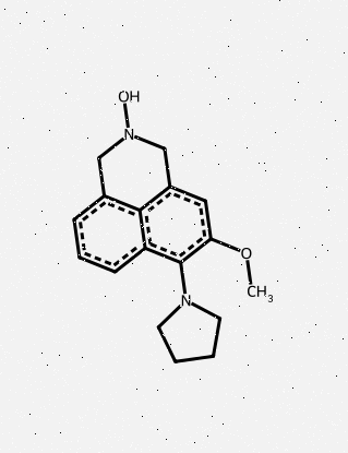 COc1cc2c3c(cccc3c1N1CCCC1)CN(O)C2